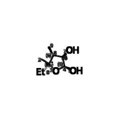 CC[C@@]1(C)O[C@H](O)[C@H](O)[C@@H]1C